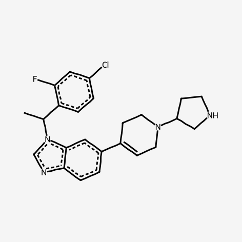 CC(c1ccc(Cl)cc1F)n1cnc2ccc(C3=CCN(C4CCNC4)CC3)cc21